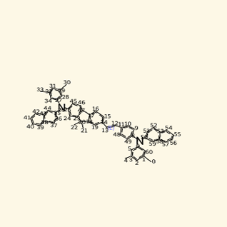 Cc1cc(C)cc(N(c2ccc(/C=C/c3ccc4c(c3)C(C)(C)c3cc(N(c5cc(C)cc(C)c5)c5ccc6ccccc6c5)ccc3-4)cc2)c2ccc3ccccc3c2)c1